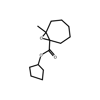 CC12CCCCCC1(C(=O)OC1CCCC1)O2